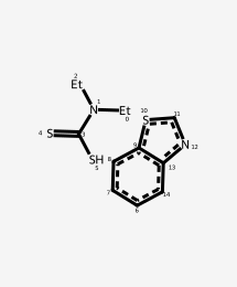 CCN(CC)C(=S)S.c1ccc2scnc2c1